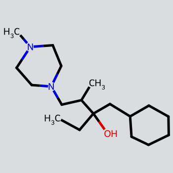 CCC(O)(CC1CCCCC1)C(C)CN1CCN(C)CC1